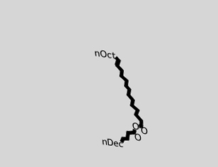 CCCCCCCCC=CCCCCCCCCCCCC(=O)OC(=O)CCCCCCCCCCCCC